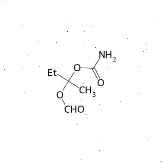 CCC(C)(OC=O)OC(N)=O